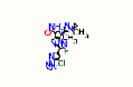 CC1(c2cnn(C3(C)CC3)c2)CC(C(N)=O)c2cnc3c(-c4cnc(-n5nccn5)c(Cl)c4)c(F)nn3c21